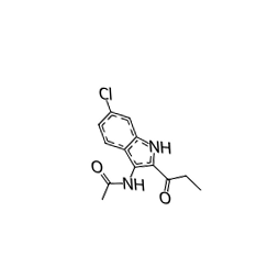 CCC(=O)c1[nH]c2cc(Cl)ccc2c1NC(C)=O